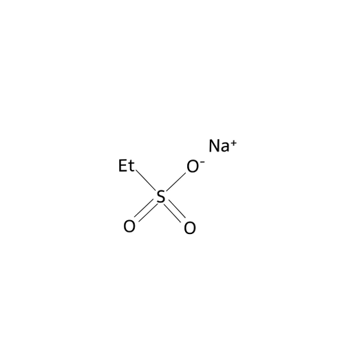 CCS(=O)(=O)[O-].[Na+]